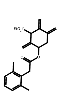 C=C1CC(OC(=O)Cc2c(C)cccc2C)C(=C)C(C(=O)OCC)C1=C